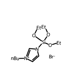 CCCC[n+]1ccn([Si](OCC)(OCC)OCC)c1.[Br-]